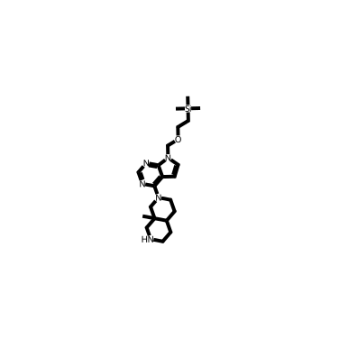 CC12CNCCC1CCN(c1ncnc3c1ccn3COCC[Si](C)(C)C)C2